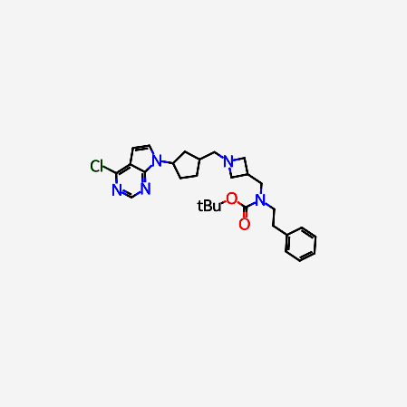 CC(C)(C)OC(=O)N(CCc1ccccc1)CC1CN(CC2CCC(n3ccc4c(Cl)ncnc43)C2)C1